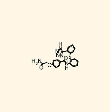 NC(=O)COc1ccc(C(=O)Nc2ccccc2Sc2ccccc2-c2nnn[nH]2)cc1